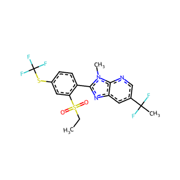 CCS(=O)(=O)c1cc(SC(F)(F)F)ccc1-c1nc2cc(C(C)(F)F)cnc2n1C